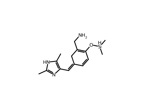 Cc1nc(C=C2C=CC(O[SiH](C)C)=C(CN)C2)c(C)[nH]1